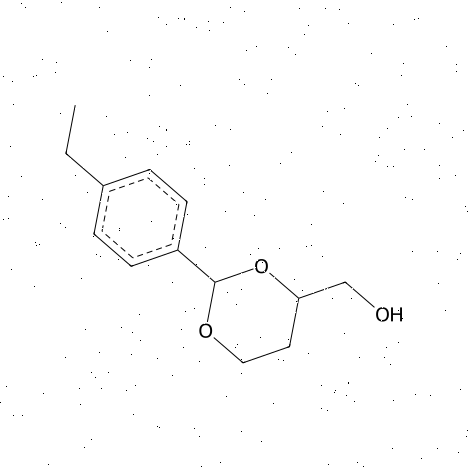 CCc1ccc(C2OCCC(CO)O2)cc1